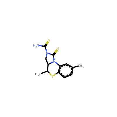 Cc1ccc2c(c1)N1C(=S)N(C(N)=S)CC1C(C)S2